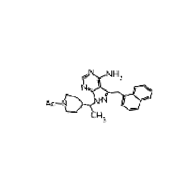 CC(=O)N1CCC(C(C)n2nc(Cc3cccc4ccccc34)c3c(N)ncnc32)CC1